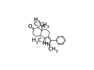 Cn1nc2c(c1-c1ccccc1)CC[C@H]1C(C)(C)C(=O)CC[C@]21C